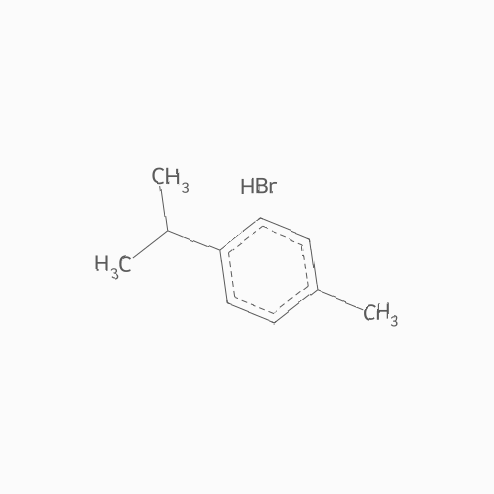 Br.Cc1ccc(C(C)C)cc1